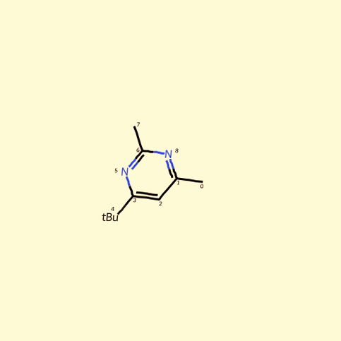 Cc1cc(C(C)(C)C)nc(C)n1